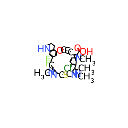 Cc1c2c(nn1C)CSCc1cc(n(C)n1)CC(F)(F)c1cc3c(c(c1)OCCCc1c(C(=O)O)n(C)c4c-2c(Cl)ccc14)CCCN3